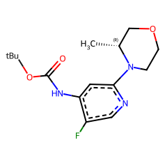 C[C@@H]1COCCN1c1cc(NC(=O)OC(C)(C)C)c(F)cn1